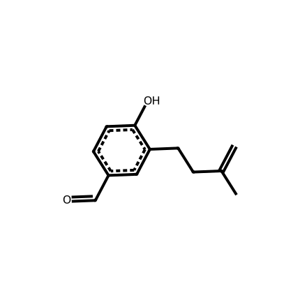 C=C(C)CCc1cc(C=O)ccc1O